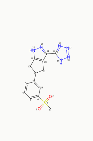 CS(=O)(=O)c1cccc(C2Cc3[nH]nc(-c4nnn[nH]4)c3C2)c1